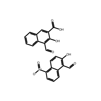 O=Cc1c(O)c(C(=O)O)cc2ccccc12.O=Cc1c(O)ccc2c([N+](=O)[O-])cccc12